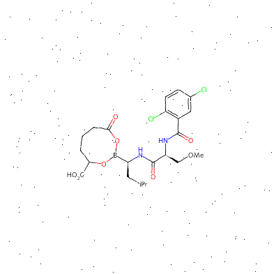 COC[C@H](NC(=O)c1cc(Cl)ccc1Cl)C(=O)N[C@@H](CC(C)C)B1OC(=O)CCCC(C(=O)O)O1